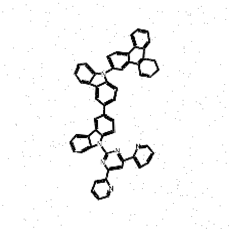 C1=Cc2c(c3ccccc3c3ccc(-n4c5ccccc5c5cc(-c6ccc7c(c6)c6ccccc6n7-c6nc(-c7ccccn7)cc(-c7ccccn7)n6)ccc54)cc23)CC1